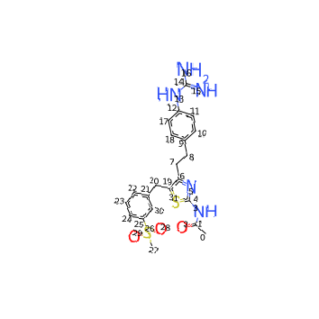 CC(=O)Nc1nc(CCc2ccc(NC(=N)N)cc2)c(Cc2cccc(S(C)(=O)=O)c2)s1